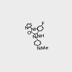 CNc1ccc(-c2nc(C(=O)Nc3nccs3)c(-c3ccc(F)cc3)[nH]2)cc1